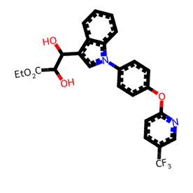 CCOC(=O)C(O)C(O)c1cn(-c2ccc(Oc3ccc(C(F)(F)F)cn3)cc2)c2ccccc12